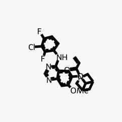 C=CC(=O)N1CC2CC(C1)C2Oc1cc2c(Nc3ccc(F)c(Cl)c3F)ncnc2cc1OC